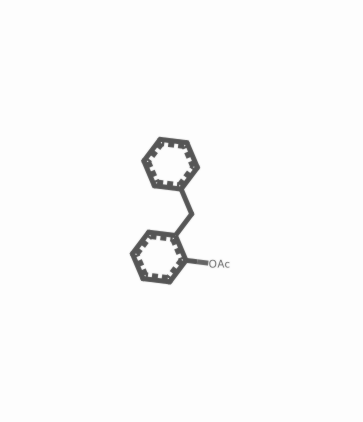 CC(=O)Oc1ccccc1Cc1ccccc1